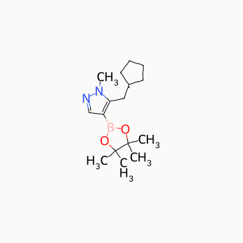 Cn1ncc(B2OC(C)(C)C(C)(C)O2)c1C[C]1CCCC1